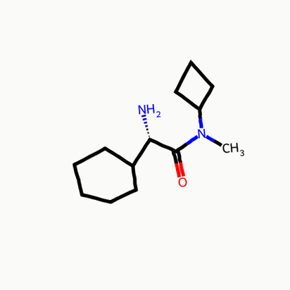 CN(C(=O)[C@@H](N)C1CCCCC1)C1CCC1